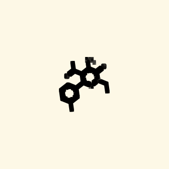 CCn1nc(-c2cccc(C)c2)c(C(C)=O)c(N)c1=O